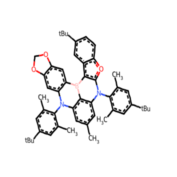 Cc1cc2c3c(c1)N(c1c(C)cc(C(C)(C)C)cc1C)c1oc4ccc(C(C)(C)C)cc4c1B3c1cc3c(cc1N2c1c(C)cc(C(C)(C)C)cc1C)OCO3